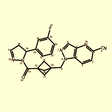 N#Cc1ccc2c(cnn2CC23CC(C(=O)N4N=CCC4c4cccc(F)c4)(C2)C3)n1